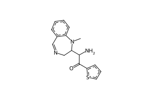 CN1c2ccccc2C=NCC1C(N)C(=O)c1cccs1